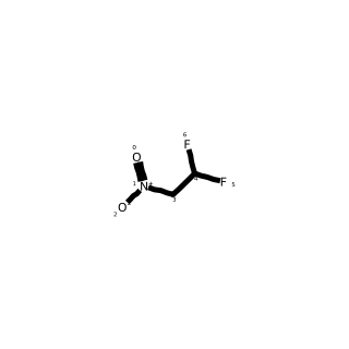 O=[N+]([O-])CC(F)F